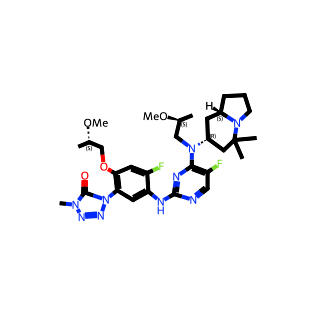 CO[C@@H](C)COc1cc(F)c(Nc2ncc(F)c(N(C[C@H](C)OC)[C@@H]3C[C@@H]4CCCN4C(C)(C)C3)n2)cc1-n1nnn(C)c1=O